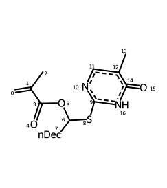 C=C(C)C(=O)OC(CCCCCCCCCC)Sc1ncc(C)c(=O)[nH]1